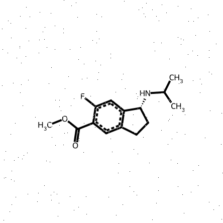 COC(=O)c1cc2c(cc1F)[C@H](NC(C)C)CC2